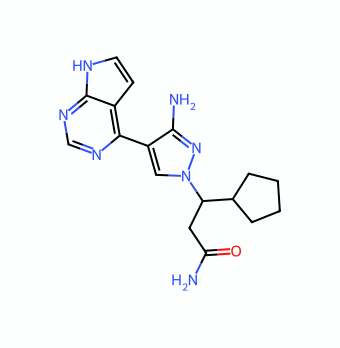 NC(=O)CC(C1CCCC1)n1cc(-c2ncnc3[nH]ccc23)c(N)n1